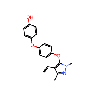 C=Cc1c(C)nn(C)c1Oc1ccc(Oc2ccc(O)cc2)cc1